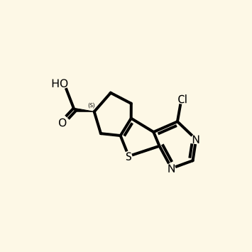 O=C(O)[C@H]1CCc2c(sc3ncnc(Cl)c23)C1